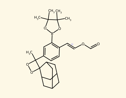 CC1(C)OB(c2cc(C3(C)OOC34C3CC5CC(C3)CC4C5)ccc2/C=C/OC=O)OC1(C)C